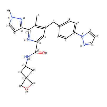 Cc1c(Cc2ccc(-n3cccn3)cc2)cc(C(=O)NC2CC3(COC3)C2)nc1-c1ccn(C)n1